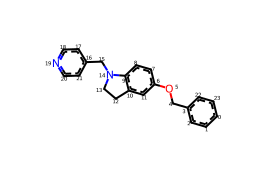 c1ccc(COc2ccc3c(c2)CCN3Cc2ccncc2)cc1